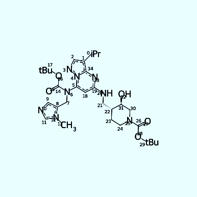 CC(C)c1cnn2c(N(Cc3cncn3C)C(=O)OC(C)(C)C)cc(NC[C@H]3CCN(C(=O)OC(C)(C)C)C[C@@H]3O)nc12